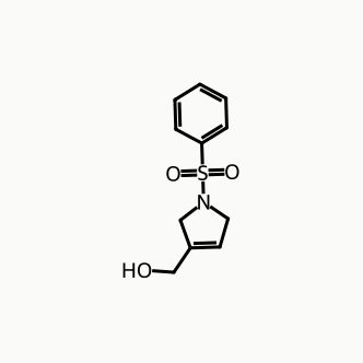 O=S(=O)(c1ccccc1)N1CC=C(CO)C1